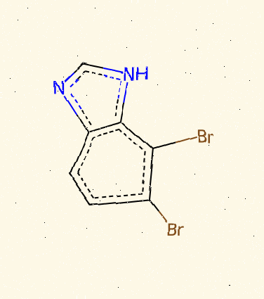 Brc1ccc2nc[nH]c2c1Br